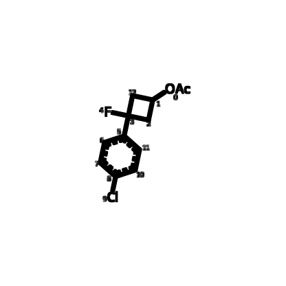 CC(=O)OC1CC(F)(c2ccc(Cl)cc2)C1